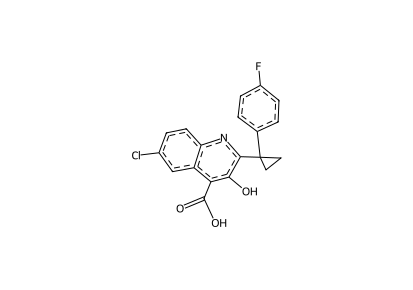 O=C(O)c1c(O)c(C2(c3ccc(F)cc3)CC2)nc2ccc(Cl)cc12